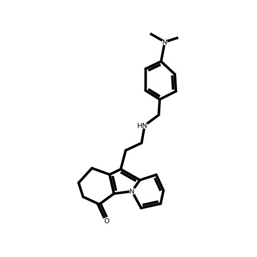 CN(C)c1ccc(CNCCc2c3c(n4ccccc24)C(=O)CCC3)cc1